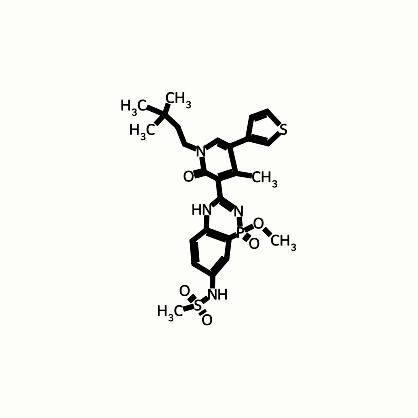 COP1(=O)N=C(c2c(C)c(-c3ccsc3)cn(CCC(C)(C)C)c2=O)Nc2ccc(NS(C)(=O)=O)cc21